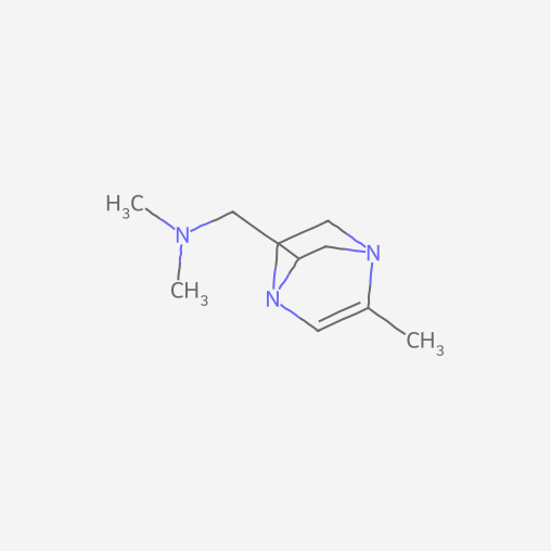 CC1=CN2CCN1CC2CN(C)C